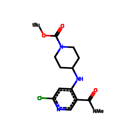 CNC(=O)c1cnc(Cl)cc1NC1CCN(C(=O)OC(C)(C)C)CC1